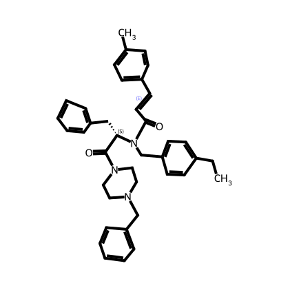 CCc1ccc(CN(C(=O)/C=C/c2ccc(C)cc2)[C@@H](Cc2ccccc2)C(=O)N2CCN(Cc3ccccc3)CC2)cc1